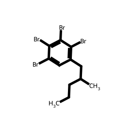 CCCC(C)Cc1[c]c(Br)c(Br)c(Br)c1Br